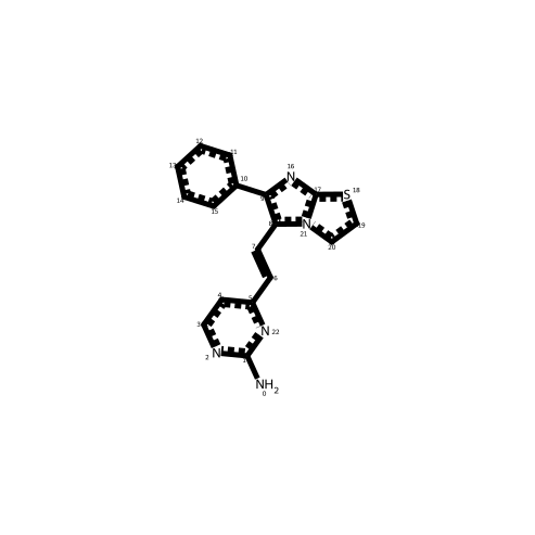 Nc1nccc(C=Cc2c(-c3ccccc3)nc3sccn23)n1